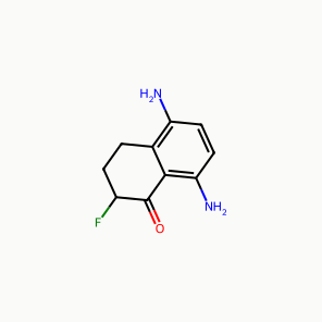 Nc1ccc(N)c2c1CCC(F)C2=O